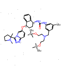 CN1CCCC1(C)c1nnc2ccc(O[C@@H]3CC[C@H](NC(=O)Nc4cc(CN(CCO[Si](C)(C)C(C)(C)C)CCO[Si](C)(C)C(C)(C)C)cc(C(C)(C)C)c4)c4ccccc43)cn12